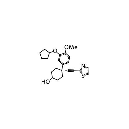 COc1ccc([C@]2(C#Cc3nccs3)CC[C@H](O)CC2)cc1OC1CCCC1